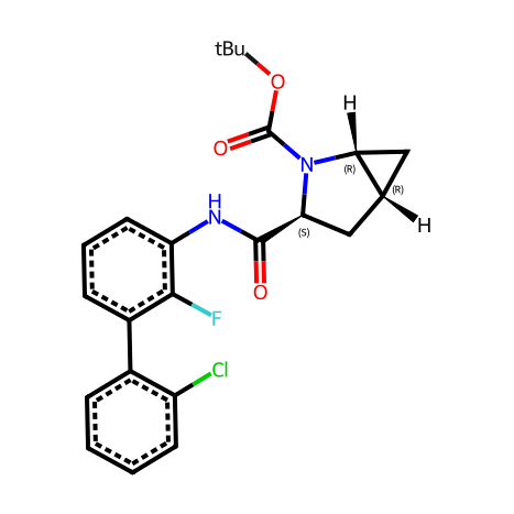 CC(C)(C)OC(=O)N1[C@@H]2C[C@@H]2C[C@H]1C(=O)Nc1cccc(-c2ccccc2Cl)c1F